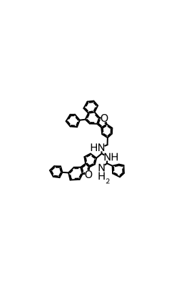 NC(NC(NCc1ccc2oc3c4ccccc4c(-c4ccccc4)cc3c2c1)c1ccc2c(c1)oc1ccc(-c3ccccc3)cc12)c1ccccc1